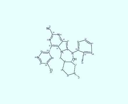 CC1CCC(Cn2c(C(O)c3ccccc3F)cc3nc(C#N)nc(-c4cncc(Cl)c4)c32)CC1